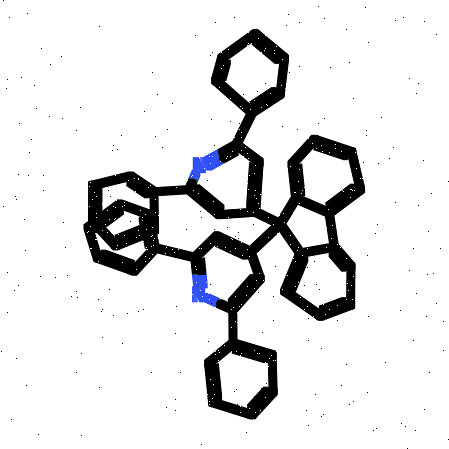 c1ccc(-c2cc(C3(c4cc(-c5ccccc5)nc(-c5ccccc5)c4)c4ccccc4-c4ccccc43)cc(-c3ccccc3)n2)cc1